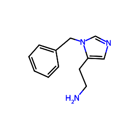 NCCc1cncn1Cc1ccccc1